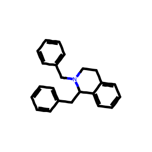 c1ccc(CC2c3ccccc3CCN2Cc2ccccc2)cc1